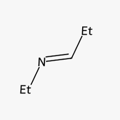 CCC=NCC